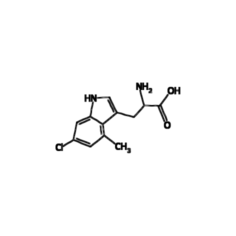 Cc1cc(Cl)cc2[nH]cc(CC(N)C(=O)O)c12